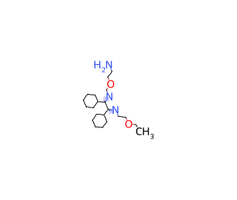 CCOCC/N=C(/C(=N/COCCN)C1CCCCC1)C1CCCCC1